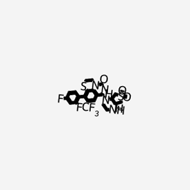 O=c1nc(N2CCN[C@@H]3CS(=O)(=O)C[C@@H]32)c2cc(C(F)(F)F)c(-c3ccc(F)cc3F)c3c2n1CCS3